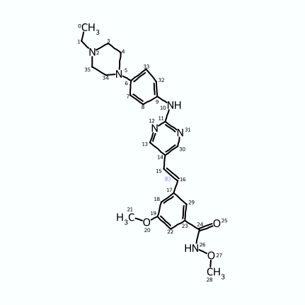 CCN1CCN(c2ccc(Nc3ncc(/C=C/c4cc(OC)cc(C(=O)NOC)c4)cn3)cc2)CC1